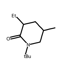 CCC1CC(C)CN(C(C)(C)C)C1=O